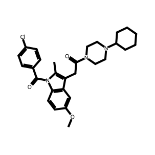 COc1ccc2c(c1)c(CC(=O)N1CCN(C3CCCCC3)CC1)c(C)n2C(=O)c1ccc(Cl)cc1